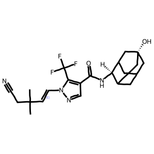 CC(C)(/C=C/n1ncc(C(=O)N[C@H]2C3CC4CC2C[C@](O)(C4)C3)c1C(F)(F)F)CC#N